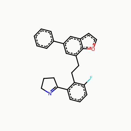 Fc1cccc(C2=NCCC2)c1CCc1cc(-c2ccccc2)cc2ccoc12